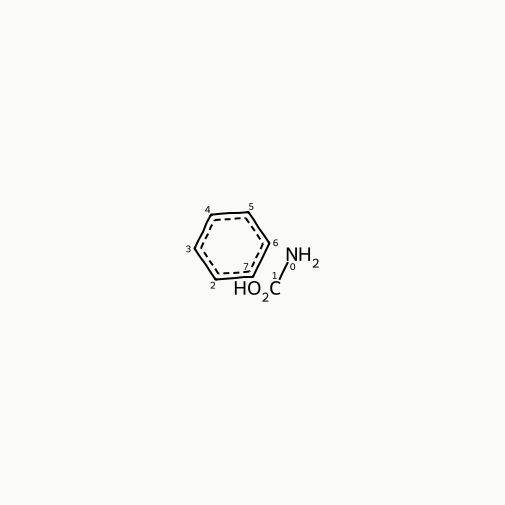 NC(=O)O.c1ccccc1